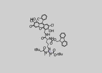 CN(C(=O)CC(C)(C)C)/C(=N\CCCC(NC(=O)OCC1c2ccccc2-c2ccccc21)C(=O)NCc1c(O)c(Cl)cc2c(-c3ccccc3C(=O)O)c3cc(Cl)c(=O)cc-3oc12)N(C)C(=O)OC(C)(C)C